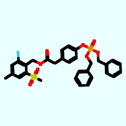 Cc1cc(F)c(COC(=O)Cc2ccc(OP(=O)(OCc3ccccc3)OCc3ccccc3)cc2)c(S(C)(=O)=O)c1